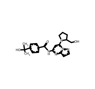 CC(C)(O)c1ccc(C(=O)Nc2cc(N3CCCC3CO)n3nccc3n2)cc1